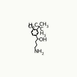 CC(C)(C)c1cc(C(O)CCCN)ccc1Cl